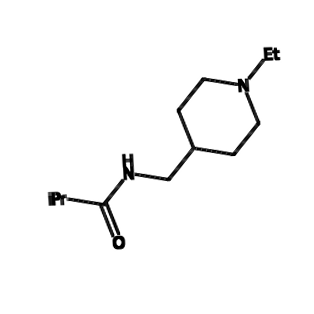 CCN1CCC(CNC(=O)C(C)C)CC1